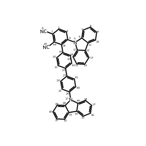 N#Cc1ccc(-n2c3ccccc3c3ccccc32)c(-c2ccc(-c3ccc(-n4c5ccccc5c5ccccc54)cc3)cc2)c1C#N